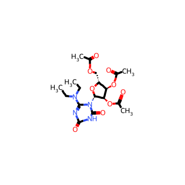 CCN(CC)c1nc(=O)[nH]c(=O)n1[C@@H]1O[C@H](COC(C)=O)[C@@H](OC(C)=O)[C@H]1OC(C)=O